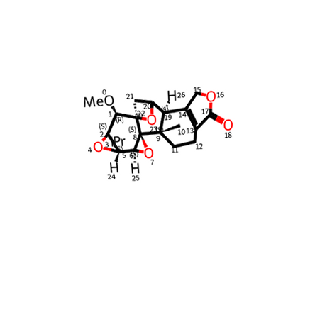 CO[C@@H]1[C@@]2(C(C)C)O[C@H]2[C@@H]2O[C@@]23[C@@]2(C)CCC4=C(COC4=O)[C@@H]2C2C[C@@]13O2